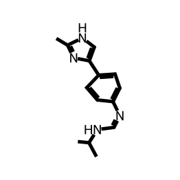 Cc1nc(-c2ccc(/N=C\NC(C)C)cc2)c[nH]1